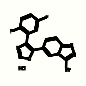 CC(C)c1nnc2ccc(-c3ocnc3-c3cc(F)ccc3F)cn12.Cl